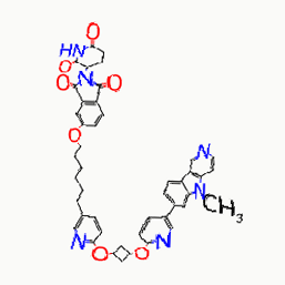 Cn1c2ccncc2c2ccc(-c3ccc(O[C@H]4C[C@H](Oc5ccc(CCCCCCOc6ccc7c(c6)C(=O)N(C6CCC(=O)NC6=O)C7=O)cn5)C4)nc3)cc21